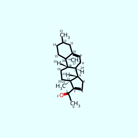 CC(=O)C1=CC[C@H]2[C@@H]3CC=C4CC(C)CC[C@]4(C)[C@H]3CC[C@]12C